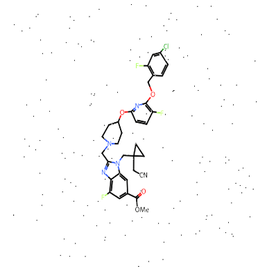 COC(=O)c1cc(F)c2nc(CN3CCC(Oc4ccc(F)c(OCc5ccc(Cl)cc5F)n4)CC3)n(CC3(CC#N)CC3)c2c1